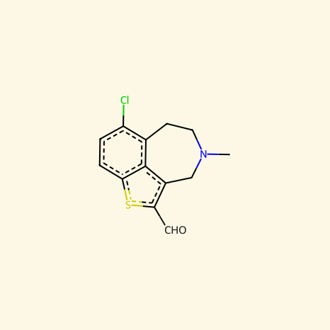 CN1CCc2c(Cl)ccc3sc(C=O)c(c23)C1